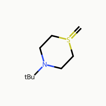 C=S1CCN(C(C)(C)C)CC1